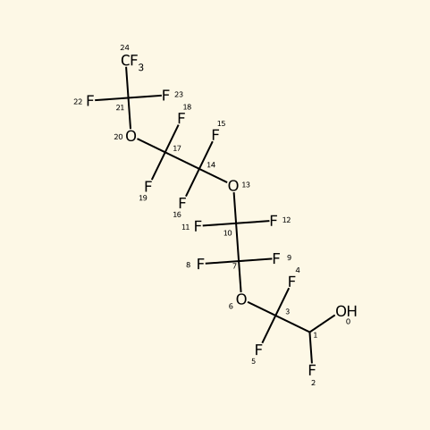 OC(F)C(F)(F)OC(F)(F)C(F)(F)OC(F)(F)C(F)(F)OC(F)(F)C(F)(F)F